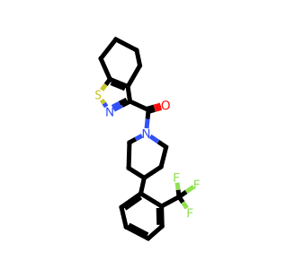 O=C(c1nsc2c1CCCC2)N1CCC(c2ccccc2C(F)(F)F)CC1